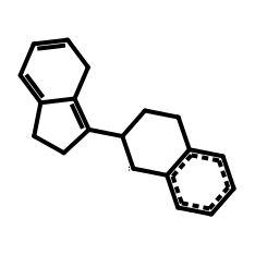 [C]1c2ccccc2CCC1C1=C2CC=CC=C2CC1